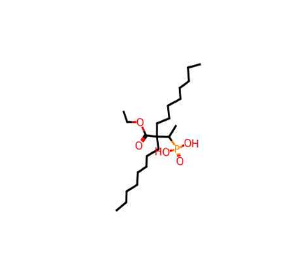 CCCCCCCCC(CCCCCCCC)(C(=O)OCC)C(C)P(=O)(O)O